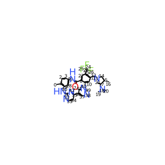 Cc1ccc(NC(=O)c2ccc(CN3C[C@@H](C)[C@H](N(C)C)C3)c(C(F)(F)F)c2)cc1Nc1nccc(-c2cncnc2)n1